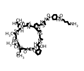 CNC(=O)C[C@@H]1NC(=O)c2csc(n2)-c2ccc(-c3nc(N=NC(=O)[C@H]4CC[C@H](C(=O)NCCCCN)CC4)cs3)nc2-c2csc(n2)-c2csc(n2)[C@H]([C@@H](O)c2ccccc2)NC(=O)CNC(=O)c2nc(sc2COC)[C@H](C(C)C)NC(=O)c2nc1sc2C